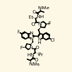 CC[C@H](NC(=O)[C@H](C)NC)C(=O)N1C[C@@H](F)C[C@H]1Cc1c(-c2nc3cc(F)ccc3n2C[C@@H]2C[C@H](F)CN2C(=O)[C@@H](NC(=O)[C@H](C)NC)C(C)C)[nH]c2cc(Cl)ccc12